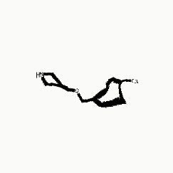 Clc1ccc(COCC2CNC2)cc1